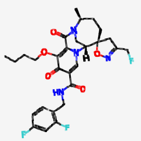 CCCCOc1c2n(cc(C(=O)NCc3ccc(F)cc3F)c1=O)[C@@H]1CN(C2=O)[C@@H](C)CC[C@]12CC(CF)=NO2